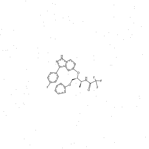 C[C@H](NC(=O)C(F)(F)F)[C@@H](COc1ccccc1)Oc1ccc2[nH]nc(-c3ccc(F)cc3)c2c1